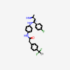 CCC(F)(F)c1ccc(CC(=O)Nc2ccc(N/C(=C\C(C)=N)c3ccc(F)cc3)cc2)cc1